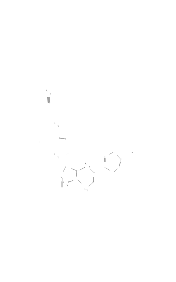 N#CC1CN(C(=O)[C@H](NC(=O)c2c[nH]c3ncc(-c4ccc(C(F)(F)F)cc4)nc23)C2CC2)C1